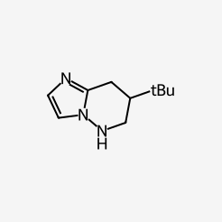 CC(C)(C)C1CNn2ccnc2C1